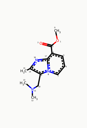 COC(=O)c1cccn2c(CN(C)C)c(C)nc12